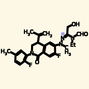 C=C(C)C1CN(c2cc(C)ccc2F)C(=O)c2cc(F)c(N(C)/N=C(/CO)N(C=O)CC)cc21